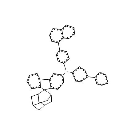 c1ccc(-c2ccc(N(c3ccc(-c4cccc5ccccc45)cc3)c3ccc4c(c3)-c3ccccc3C43C4CC5CC(C4)CC3C5)cc2)cc1